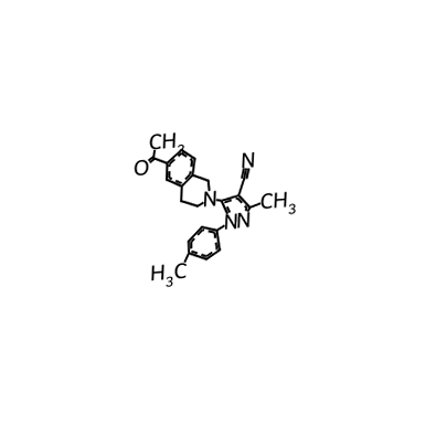 CC(=O)c1ccc2c(c1)CCN(c1c(C#N)c(C)nn1-c1ccc(C)cc1)C2